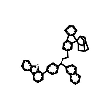 c1ccc2c(c1)-c1ccc(CC[C@H](c3ccc(-c4cccc5c4sc4ccccc45)cc3)c3ccc4ccccc4c3)cc1C21C2CC3CC(C2)CC1C3